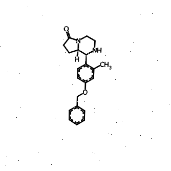 Cc1cc(OCc2ccccc2)ccc1[C@@H]1NCCN2C(=O)CC[C@@H]12